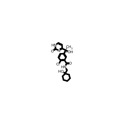 C[C@](O)(c1ccc(Cl)c(C(=O)NCC2(O)CCCCC2)c1)c1cc[nH]c(=O)n1